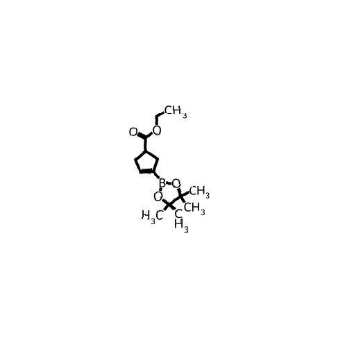 CCOC(=O)C1CC=C(B2OC(C)(C)C(C)(C)O2)C1